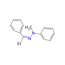 CCC(=NN(C)c1ccccc1)c1ccccc1